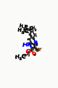 CCOC(=O)c1[nH]c2cc3c(nc2c1Br)CCC(C(C)(C)C)C3